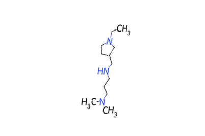 CCN1CCC(CNCCCN(C)C)C1